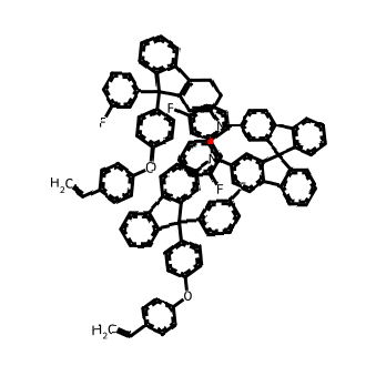 C=Cc1ccc(Oc2ccc(C3(c4cccc(F)c4)C4=C(CCC(N(c5cccc(F)c5)c5ccc6c(c5)C5(c7ccccc7-6)c6ccccc6-c6ccc(N(c7cccc(F)c7)c7ccc8c(c7)C(c7ccc(Oc9ccc(C=C)cc9)cc7)(c7cccc(F)c7)c7ccccc7-8)cc65)=C4)c4ccccc43)cc2)cc1